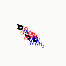 Cc1ccc(S(=O)(=O)NCC2OCC(O)(n3cnc4c(N)ncnc43)C2O)cc1